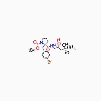 CCC(C)(C)CC(O)CNC(=O)C1(Cc2ccc(Br)cc2)CCCN1C(=O)OC(C)(C)C